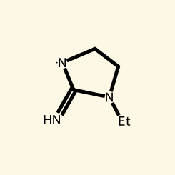 CCN1CC[N]C1=N